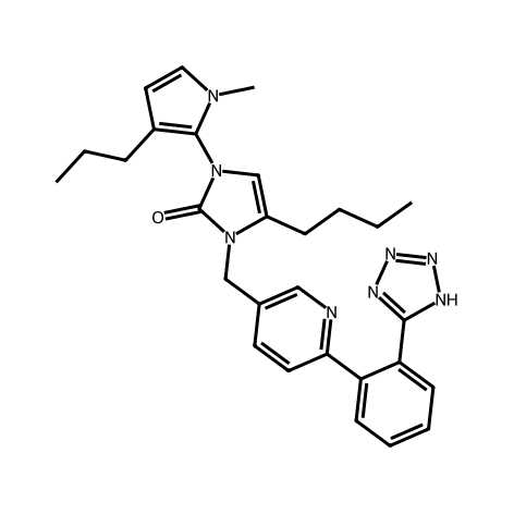 CCCCc1cn(-c2c(CCC)ccn2C)c(=O)n1Cc1ccc(-c2ccccc2-c2nnn[nH]2)nc1